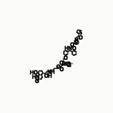 Cl.O=C(NC(c1ccccc1)c1cccc(OCc2ccc(C(=O)OCCCCNCC(O)c3ccc(O)c4[nH]c(=O)ccc34)o2)c1)OC1C[N+]2(CC(=O)c3cccs3)CCC1CC2.[Cl-]